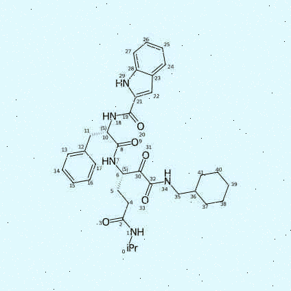 CC(C)NC(=O)CC[C@H](NC(=O)[C@H](Cc1ccccc1)NC(=O)c1cc2ccccc2[nH]1)C(=O)C(=O)NCC1CCCCC1